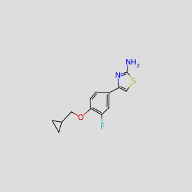 Nc1nc(-c2ccc(OCC3CC3)c(F)c2)cs1